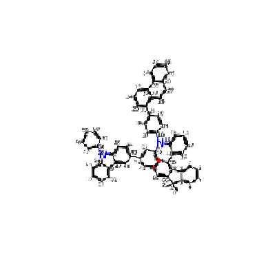 CC1(C)c2ccccc2-c2c(-c3ccccc3N(c3ccc(-c4cccc5c4ccc4ccccc45)cc3)c3cccc(-c4ccc5c(c4)c4ccccc4n5-c4ccccc4)c3)cccc21